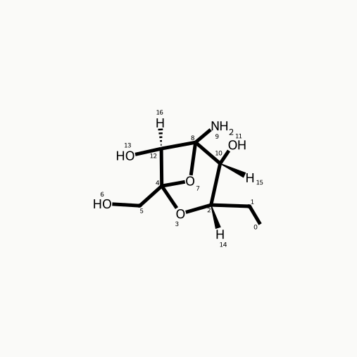 CC[C@@H]1OC2(CO)OC(N)([C@@H]1O)[C@@H]2O